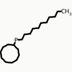 CCCCCCCCCCC[P]C1CCCCCCCCC1